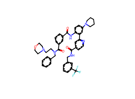 O=C(NCc1cccc(C(F)(F)F)c1)c1ccnc(-c2cc(N3CCCCC3)ccc2NC(=O)c2cccc(C(=O)N(CCN3CCOCC3)Cc3ccccc3)c2)c1